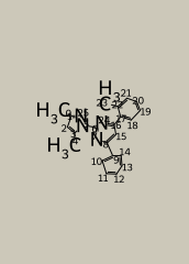 Cc1cc(C)n(-c2nc(-c3ccccc3)cc(-c3ccccc3C)n2)n1